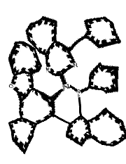 c1ccc(B2c3c(ccc4ccccc34)-c3c(c4c5ccccc5oc4c4ccccc34)N2c2nc(-c3ccccc3)c3ccccc3n2)cc1